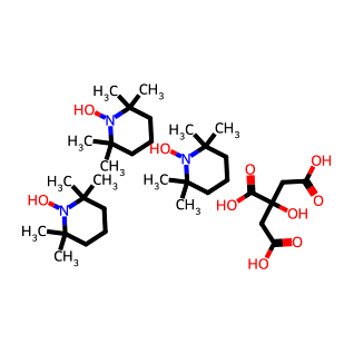 CC1(C)CCCC(C)(C)N1O.CC1(C)CCCC(C)(C)N1O.CC1(C)CCCC(C)(C)N1O.O=C(O)CC(O)(CC(=O)O)C(=O)O